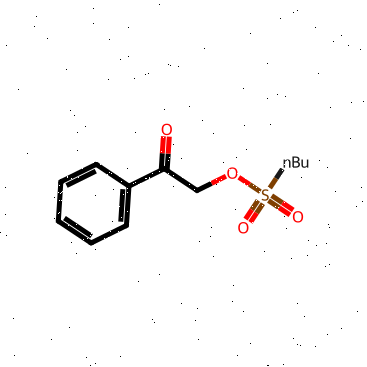 CCCCS(=O)(=O)OCC(=O)c1ccccc1